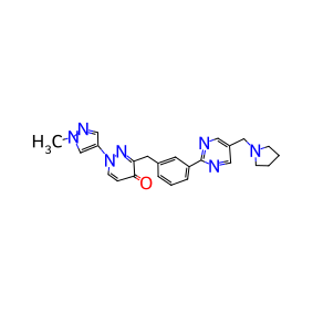 Cn1cc(-n2ccc(=O)c(Cc3cccc(-c4ncc(CN5CCCC5)cn4)c3)n2)cn1